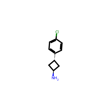 N[C@H]1C[C@H](c2ccc(Cl)cc2)C1